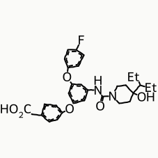 CCC(CC)C1(O)CCN(C(=O)Nc2cc(Oc3ccc(F)cc3)cc(Oc3ccc(CC(=O)O)cc3)c2)CC1